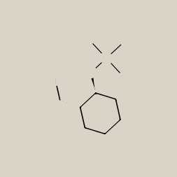 C[Si](C)(C)O[C@H]1CCCC[C@@H]1CI